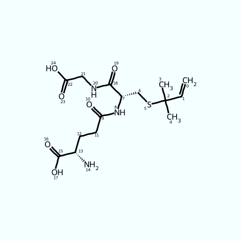 C=CC(C)(C)SC[C@H](NC(=O)CC[C@H](N)C(=O)O)C(=O)NCC(=O)O